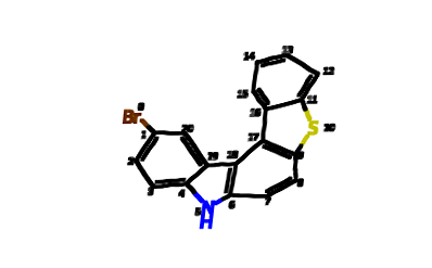 Brc1ccc2[nH]c3ccc4sc5ccccc5c4c3c2c1